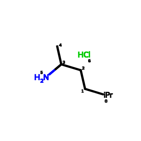 CC(C)CCC(C)N.Cl